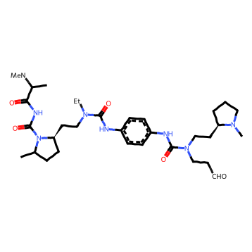 CCN(CC[C@H]1CCC(C)N1C(=O)NC(=O)C(C)NC)C(=O)Nc1ccc(NC(=O)N(CCC=O)CC[C@H]2CCCN2C)cc1